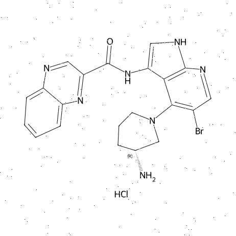 Cl.N[C@@H]1CCCN(c2c(Br)cnc3[nH]cc(NC(=O)c4cnc5ccccc5n4)c23)C1